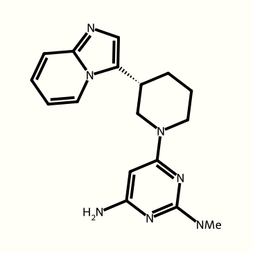 CNc1nc(N)cc(N2CCC[C@@H](c3cnc4ccccn34)C2)n1